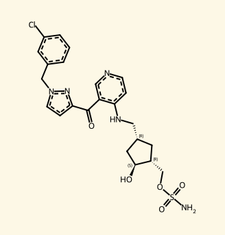 NS(=O)(=O)OC[C@H]1C[C@@H](CNc2ccncc2C(=O)c2ccn(Cc3cccc(Cl)c3)n2)C[C@@H]1O